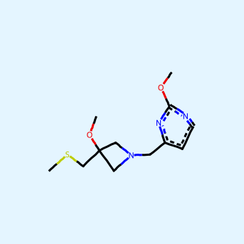 COc1nccc(CN2CC(CSC)(OC)C2)n1